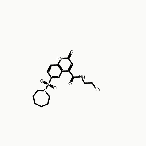 CC(C)CCNC(=O)c1cc(=O)[nH]c2ccc(S(=O)(=O)N3CCCCCC3)cc12